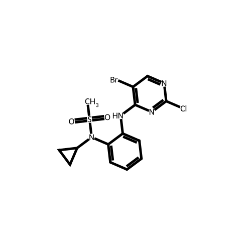 CS(=O)(=O)N(c1ccccc1Nc1nc(Cl)ncc1Br)C1CC1